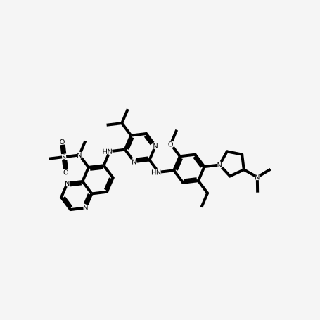 CCc1cc(Nc2ncc(C(C)C)c(Nc3ccc4nccnc4c3N(C)S(C)(=O)=O)n2)c(OC)cc1N1CCC(N(C)C)C1